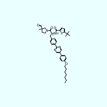 CCCCCCCOc1ccc(-c2cnc(-c3ccc(C[C@H](NC(=O)c4ccc(C(C)(C)C)s4)C(=O)N4CCC(C)(C=O)C4)cc3)nc2)cc1